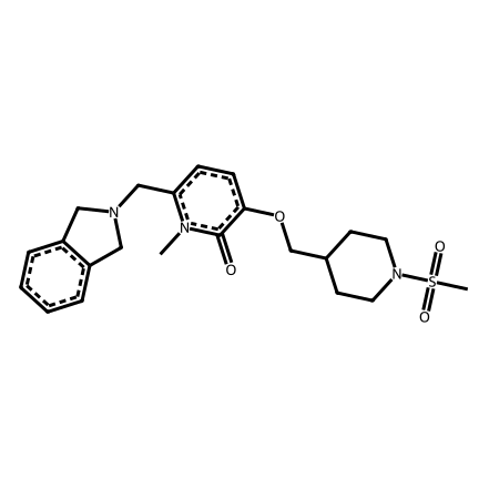 Cn1c(CN2Cc3ccccc3C2)ccc(OCC2CCN(S(C)(=O)=O)CC2)c1=O